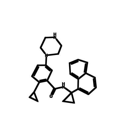 O=C(NC1(c2cccc3ccccc23)CC1)c1cc(N2CCNCC2)ccc1C1CC1